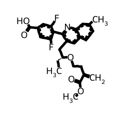 C=C(CCO[C@H](CC)Cc1cc2ccc(C)cc2nc1-c1c(F)cc(C(=O)O)cc1F)C(=O)OC